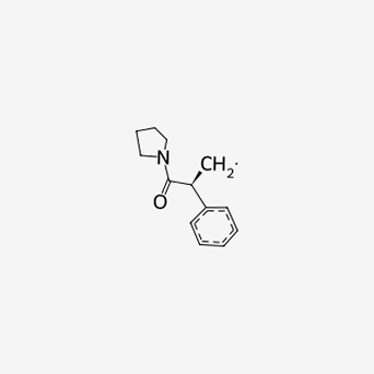 [CH2][C@H](C(=O)N1CCCC1)c1ccccc1